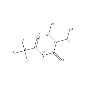 C=C(NC(=O)C(C)(C)C)C(CC)CC